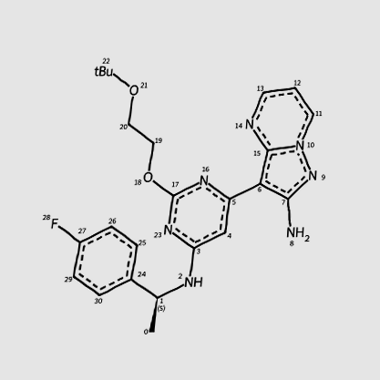 C[C@H](Nc1cc(-c2c(N)nn3cccnc23)nc(OCCOC(C)(C)C)n1)c1ccc(F)cc1